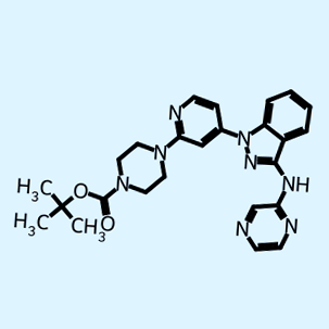 CC(C)(C)OC(=O)N1CCN(c2cc(-n3nc(Nc4cnccn4)c4ccccc43)ccn2)CC1